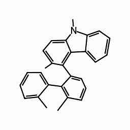 Cc1ccccc1-c1c(C)cccc1-c1c(C)ccc2c1c1ccccc1n2C